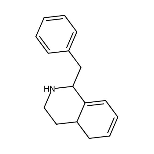 C1=CCC2CCNC(Cc3ccccc3)C2=C1